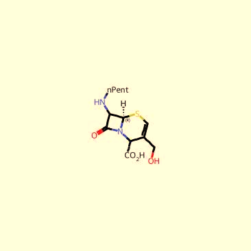 CCCCCNC1C(=O)N2C(C(=O)O)C(CO)=CS[C@H]12